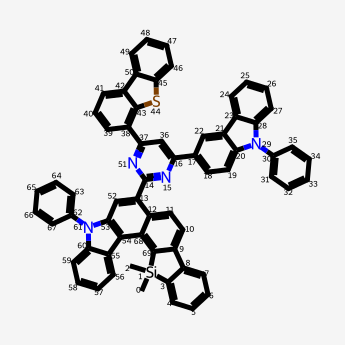 C[Si]1(C)c2ccccc2-c2ccc3c(-c4nc(-c5ccc6c(c5)c5ccccc5n6-c5ccccc5)cc(-c5cccc6c5sc5ccccc56)n4)cc4c(c5ccccc5n4-c4ccccc4)c3c21